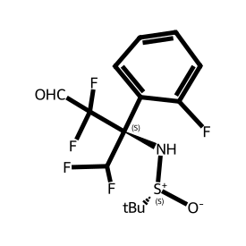 CC(C)(C)[S@@+]([O-])N[C@@](c1ccccc1F)(C(F)F)C(F)(F)C=O